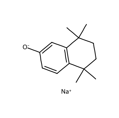 CC1(C)CCC(C)(C)c2cc([O-])ccc21.[Na+]